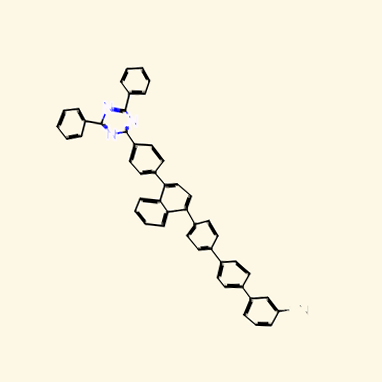 N#Cc1cccc(-c2ccc(-c3ccc(-c4ccc(-c5ccc(-c6nc(-c7ccccc7)nc(-c7ccccc7)n6)cc5)c5ccccc45)cc3)cc2)c1